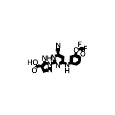 N#Cc1cc(Nc2ccc3c(c2)OC(F)(F)O3)nc(-n2ncc(C(=O)O)c2N)n1